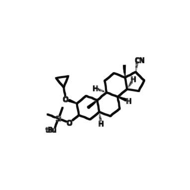 CC(C)(C)[Si](C)(C)OC1C[C@@H]2CC[C@@H]3[C@H](CC[C@]4(C)[C@H](C#N)CC[C@@H]34)[C@@]2(C)C[C@@H]1OC1CC1